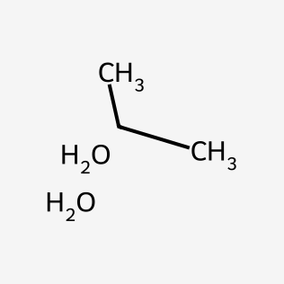 CCC.O.O